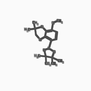 COc1ccc(B2OC(C)(C)C(C)(C)O2)c2c1OC(C)(C)CO2